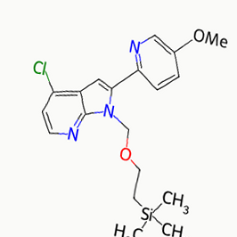 COc1ccc(-c2cc3c(Cl)ccnc3n2COCC[Si](C)(C)C)nc1